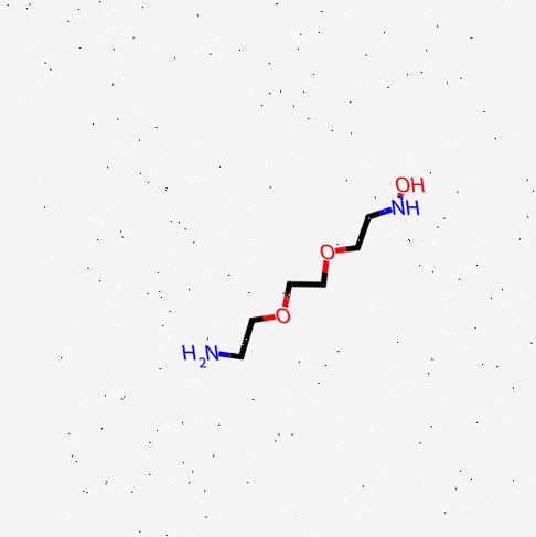 NCCOCCOCCNO